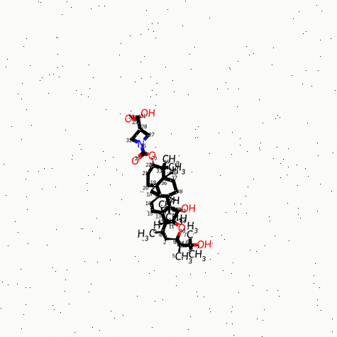 C[C@@H]1C[C@H]([C@H](C)C(C)(C)O)O[C@H]2[C@H]1[C@@]1(C)CC[C@@]34C[C@@]35CC[C@H](OC(=O)N3CC(C(=O)O)C3)C(C)(C)[C@@H]5CC[C@H]4[C@]1(C)[C@H]2O